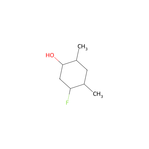 CC1CC(C)C(F)CC1O